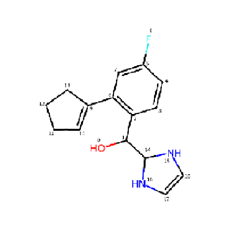 OC(c1ccc(F)cc1C1=CCCC1)C1NC=CN1